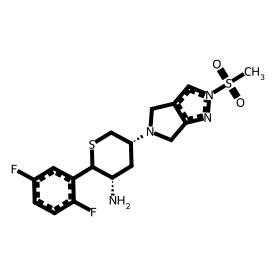 CS(=O)(=O)n1cc2c(n1)CN([C@H]1CSC(c3cc(F)ccc3F)[C@@H](N)C1)C2